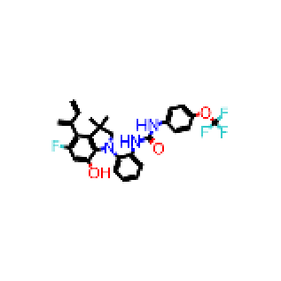 C=CC(=C)c1c(F)cc(O)c2c1C(C)(C)CN2c1ccccc1NC(=O)Nc1ccc(OC(F)(F)F)cc1